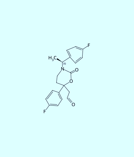 C[C@@H](c1ccc(F)cc1)N1CCC(CC=O)(c2ccc(F)cc2)OC1=O